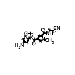 Cn1cc(N)cc1NC(=O)c1cc(C(=O)NCCC#N)n(C)c1